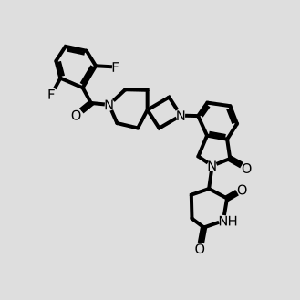 O=C1CCC(N2Cc3c(cccc3N3CC4(CCN(C(=O)c5c(F)cccc5F)CC4)C3)C2=O)C(=O)N1